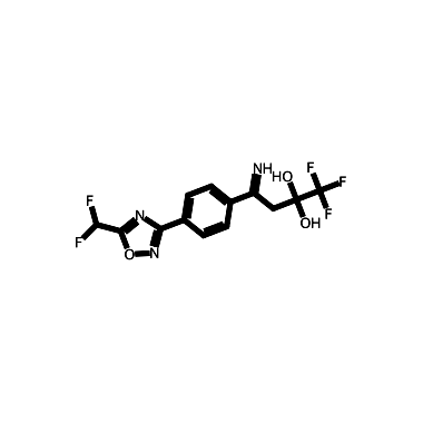 N=C(CC(O)(O)C(F)(F)F)c1ccc(-c2noc(C(F)F)n2)cc1